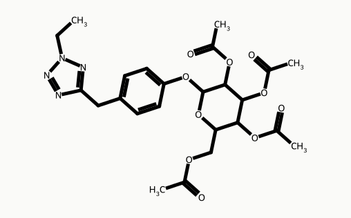 CCn1nnc(Cc2ccc(OC3OC(COC(C)=O)C(OC(C)=O)C(OC(C)=O)C3OC(C)=O)cc2)n1